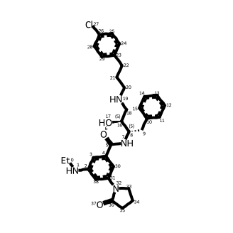 CCNc1cc(C(=O)N[C@@H](Cc2ccccc2)[C@@H](O)CNCCCc2ccc(Cl)cc2)cc(N2CCCC2=O)c1